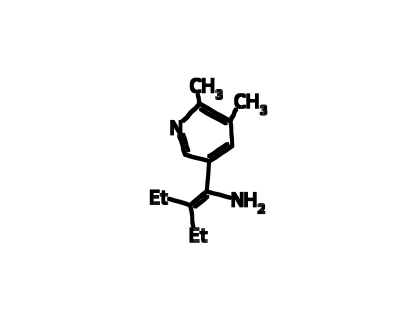 CCC(CC)=C(N)c1cnc(C)c(C)c1